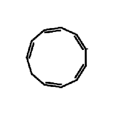 [C]1=C\C=C/C=C\C/C=C\C=C/1